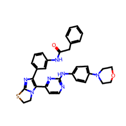 O=C(Cc1ccccc1)Nc1cccc(-c2nc3n(c2-c2ccnc(Nc4ccc(N5CCOCC5)cc4)n2)CCS3)c1